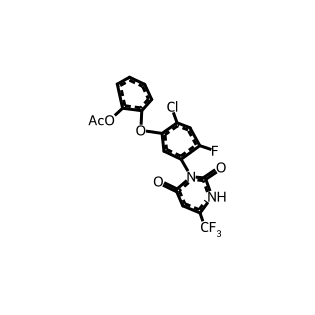 CC(=O)Oc1ccccc1Oc1cc(-n2c(=O)cc(C(F)(F)F)[nH]c2=O)c(F)cc1Cl